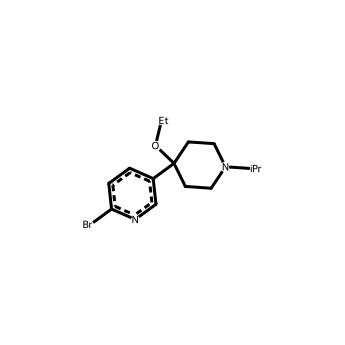 CCOC1(c2ccc(Br)nc2)CCN(C(C)C)CC1